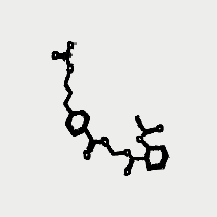 CC(=O)Oc1ccccc1C(=O)OCOC(=O)c1ccc(CCCO[N+](=O)[O-])cc1